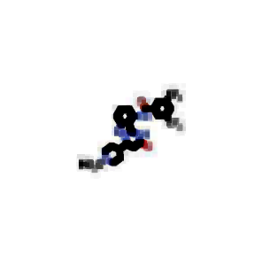 O=C(Nc1cccc2nn3c(C4CCN(C(=O)O)CC4)cc(=O)[nH]c3c12)c1cc(C(F)(F)F)cc(C(F)(F)F)c1